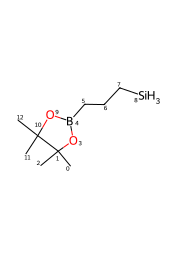 CC1(C)OB(CCC[SiH3])OC1(C)C